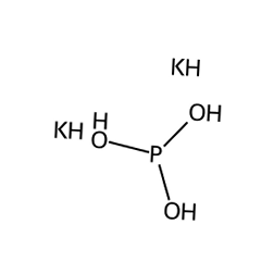 OP(O)O.[KH].[KH]